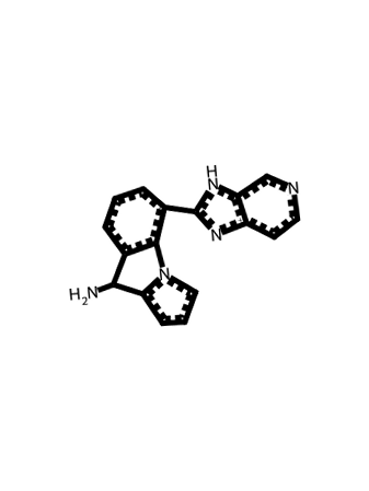 NC1c2cccc(-c3nc4ccncc4[nH]3)c2-n2cccc21